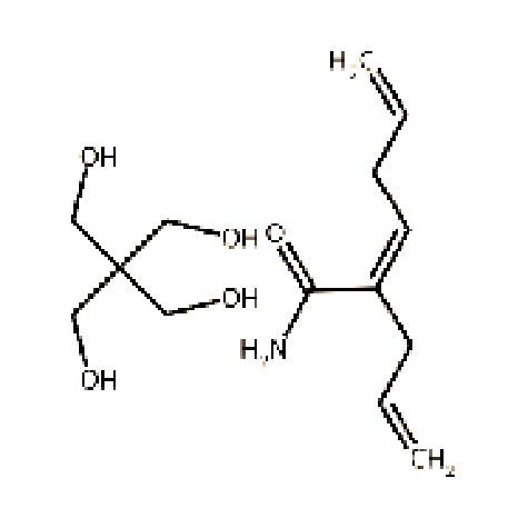 C=CCC=C(CC=C)C(N)=O.OCC(CO)(CO)CO